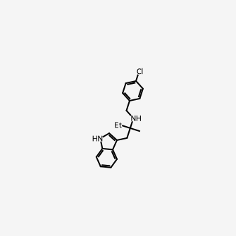 CCC(C)(Cc1c[nH]c2ccccc12)NCc1ccc(Cl)cc1